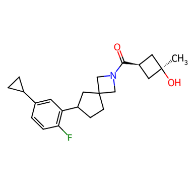 C[C@]1(O)C[C@@H](C(=O)N2CC3(CCC(c4cc(C5CC5)ccc4F)C3)C2)C1